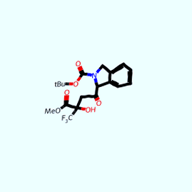 COC(=O)C(O)(CC(=O)C1c2ccccc2CN1C(=O)OC(C)(C)C)C(F)(F)F